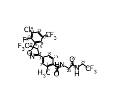 Cc1cc(C2=NOC(c3cc(C(F)(F)F)cc(Cl)c3F)(C(F)(F)F)C2)ccc1C(=O)NCC(=O)NCC(F)(F)F